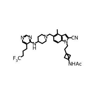 CC(=O)NC12CC(CCn3c(C#N)cc4c(C)c(CN5CCC(Nc6ncncc6CCCC(F)(F)F)CC5)ccc43)(C1)C2